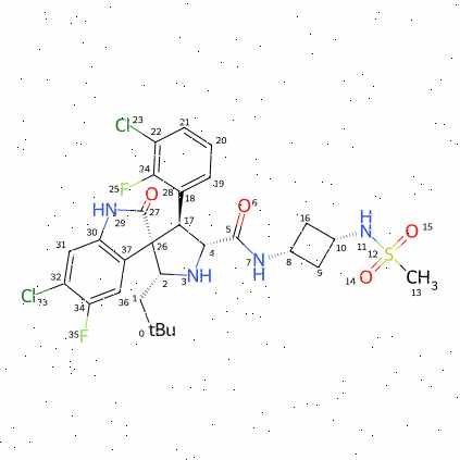 CC(C)(C)C[C@H]1N[C@@H](C(=O)N[C@H]2C[C@@H](NS(C)(=O)=O)C2)[C@H](c2cccc(Cl)c2F)[C@@]12C(=O)Nc1cc(Cl)c(F)cc12